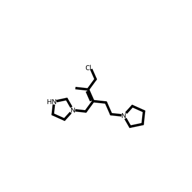 C/C(CCl)=C(/CCN1CCCC1)CN1CCNC1